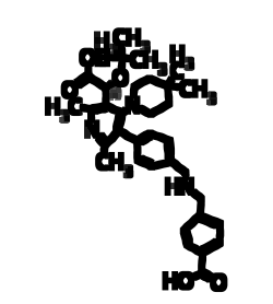 Cc1nc(C)c([C@H](OC(C)(C)C)C(=O)O)c(N2CCC(C)(C)CC2)c1-c1ccc(CNCc2ccc(C(=O)O)cc2)cc1